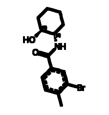 Cc1ccc(C(=O)N[C@H]2CCCC[C@@H]2O)cc1Br